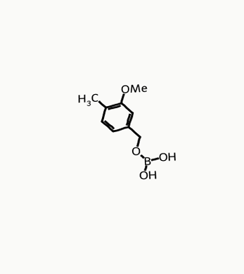 COc1cc(COB(O)O)ccc1C